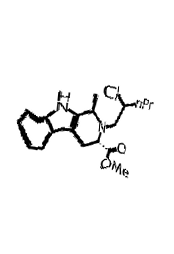 CCCC(Cl)CN1C(C)c2[nH]c3ccccc3c2C[C@H]1C(=O)OC